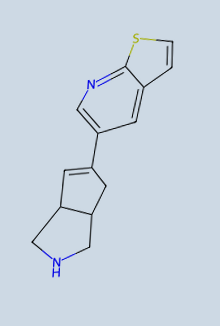 C1=C(c2cnc3sccc3c2)CC2CNCC12